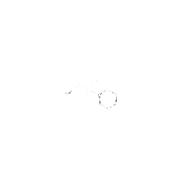 C#CC[Si](CC)(CC)c1ccccc1